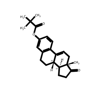 CC(C)(C)C(=O)Oc1ccc2c(c1)CC[C@@H]1C2=CC[C@]2(C)C(=O)CC[C@@H]12